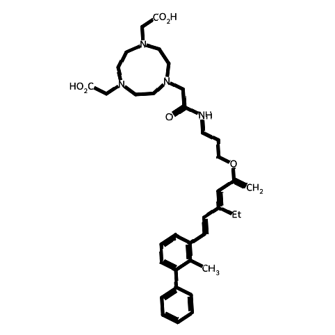 C=C(/C=C(/C=C/c1cccc(-c2ccccc2)c1C)CC)OCCCNC(=O)CN1CCN(CC(=O)O)CCN(CC(=O)O)CC1